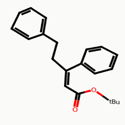 CC(C)(C)OC(=O)C=C(CCc1ccccc1)c1ccccc1